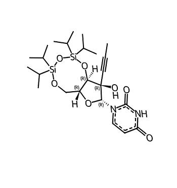 CC#C[C@@]1(O)[C@@H]2O[Si](C(C)C)(C(C)C)O[Si](C(C)C)(C(C)C)OC[C@H]2O[C@H]1n1ccc(=O)[nH]c1=O